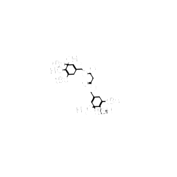 CC(C)(C)C1=C(O)C(C)(C(C)(C)C)C=C(COC(=O)CC(=O)OCC2=CC(C)(C(C)(C)C)C(O)=C(C(C)(C)C)C2)C1